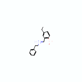 CCc1ccc(OC)c(CNCCc2ccccc2)c1